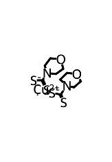 S=C([S-])N1CCOCC1.S=C([S-])N1CCOCC1.[Cu+2]